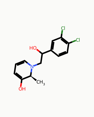 C[C@H]1C(O)=CC=CN1CC(O)c1ccc(Cl)c(Cl)c1